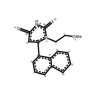 COCCn1c(-c2cccc3ccccc23)cc(=O)[nH]c1=S